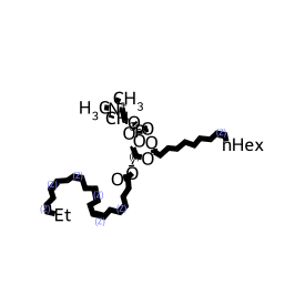 CC/C=C\C/C=C\C/C=C\C/C=C\C/C=C\C/C=C\CCC(=O)OC[C@H](COP(=O)([O-])OCC[N+](C)(C)C)OC(=O)CCCCCCC/C=C\CCCCCC